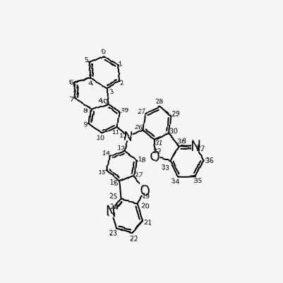 c1ccc2c(c1)ccc1ccc(N(c3ccc4c(c3)oc3cccnc34)c3cccc4c3oc3cccnc34)cc12